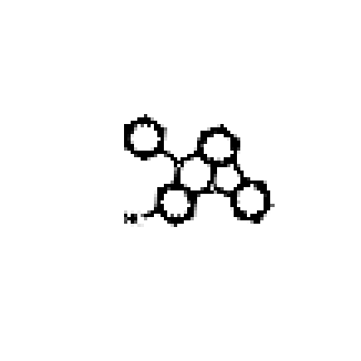 N#Cc1ccc2c(c1)N(c1ccccc1)c1cccc3c1B2c1ccccc1-3